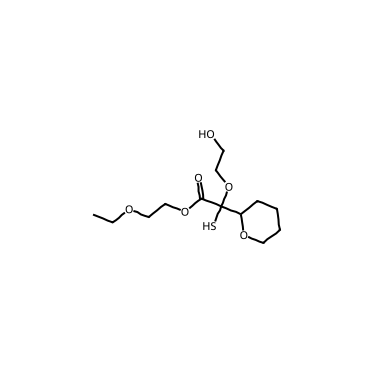 CCOCCOC(=O)C(S)(OCCO)C1CCCCO1